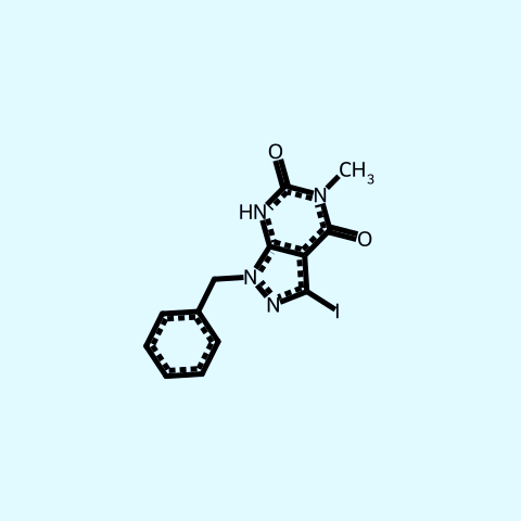 Cn1c(=O)[nH]c2c(c(I)nn2Cc2ccccc2)c1=O